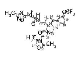 Cc1noc([C@H]2C[C@@H]2C(=O)NCc2ccc(-c3cccc(OC(F)(F)F)c3)c3c2CN(CC(=O)N2[C@H](C)COC[C@H]2C)CC3)n1